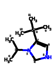 CC(C)N1[C]NC=C1[Si](C)(C)C